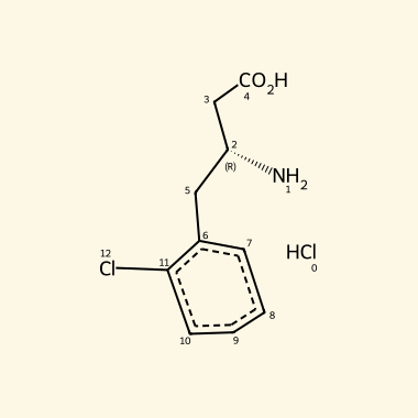 Cl.N[C@@H](CC(=O)O)Cc1ccccc1Cl